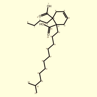 CCCCC1(C(=O)O)CC=CCC1(CCCCCCCCCC(C)C)C(=O)O